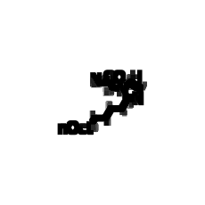 CCCCCCCCCCCCc1nccn1CC(=O)O.[Na+]